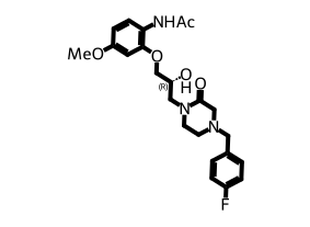 COc1ccc(NC(C)=O)c(OC[C@H](O)CN2CCN(Cc3ccc(F)cc3)CC2=O)c1